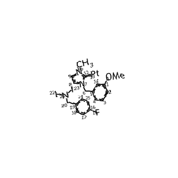 COc1cccc(Cn2ccn(C)[c]2=[Pt])c1.Fc1ccc(CN(I)I)cc1